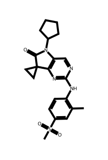 Cc1cc(S(C)(=O)=O)ccc1Nc1ncc2c(n1)C1(CC1)C(=O)N2C1CCCC1